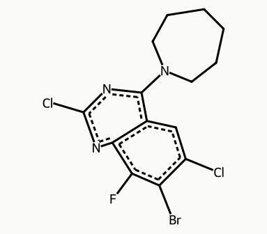 Fc1c(Br)c(Cl)cc2c(N3CCCCCC3)nc(Cl)nc12